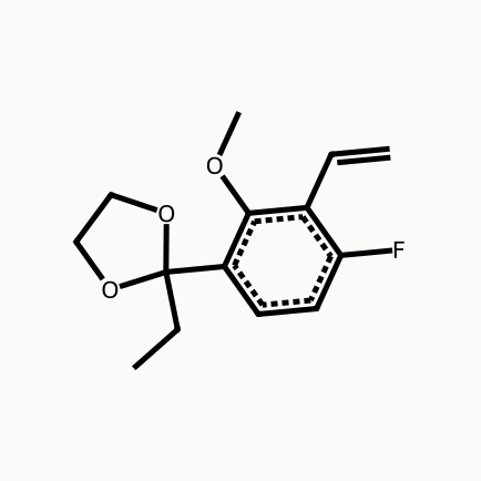 C=Cc1c(F)ccc(C2(CC)OCCO2)c1OC